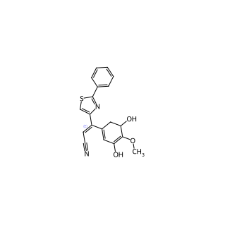 COC1=C(O)C=C(/C(=C\C#N)c2csc(-c3ccccc3)n2)CC1O